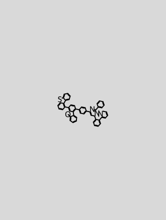 c1ccc(-c2nc(-c3ccc(-c4ccc(-c5cccc6sc7ccccc7c56)c5oc6ccccc6c45)cc3)cc(-c3ccccc3-c3ccccn3)n2)cc1